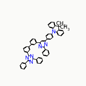 CC1(C)c2ccccc2N(c2ccc(-c3cc(-c4cccc(-c5cccc(-c6nc(-c7ccccc7)nc(-c7ccccc7)n6)c5)c4)nc(-c4ccccc4)n3)cc2)c2ccccc21